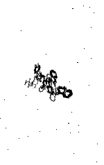 N/C(=C\N(N)c1ccncc1)CN1CC(=O)N2CC(=O)N(Cc3cccc4ccccc34)CC2N1C(=O)NCc1ccccc1